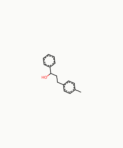 Cc1ccc(CCC(O)c2ccccc2)cc1